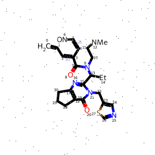 C=C/C=C(\C=C/N=O)C(=O)N(CCNC)C(CC)c1nc2c(c(=O)n1Cc1cncs1)CCC2